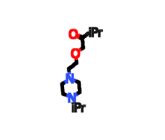 CC(C)C(=O)COCCN1CCN(C(C)C)CC1